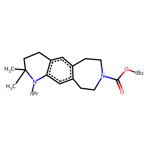 CCCN1c2cc3c(cc2CCC1(C)C)CCN(C(=O)OC(C)(C)C)CC3